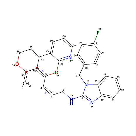 C=C/C=C(\C=C/CNc1nc2ccccc2n1Cc1ccc(F)cc1)Oc1ncccc1C1CCOCC1